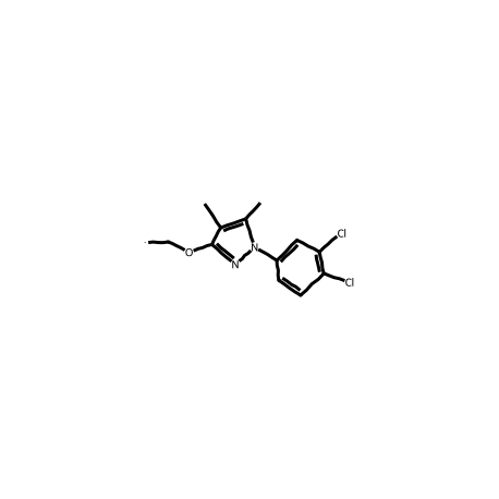 [CH2]COc1nn(-c2ccc(Cl)c(Cl)c2)c(C)c1C